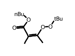 CCCCOC(=O)C(C)=C(C)OOC(C)(C)C